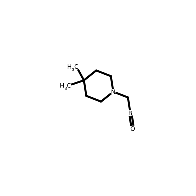 CC1(C)CCN(CB=O)CC1